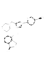 Cc1c([C@H]2CN(Cc3cn(-c4ccc(C#N)cn4)cn3)CCO2)ccc2c1COC2=O